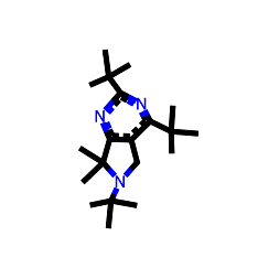 CC(C)(C)c1nc(C(C)(C)C)c2c(n1)C(C)(C)N(C(C)(C)C)C2